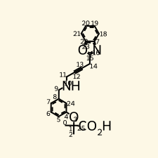 CC(C)(Oc1cccc(CNCC#CCc2nc3ccccc3o2)c1)C(=O)O